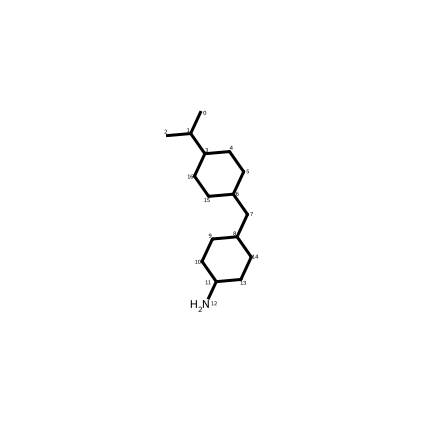 CC(C)C1CCC(CC2CCC(N)CC2)CC1